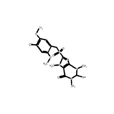 COc1cc(CS(=O)(=O)c2nc3c(n2C)C(=O)N(C)C(O)N3C)c(OC)cc1Cl